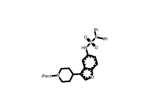 CCCC(C)N1CCC(c2coc3ccc(NS(=O)(=O)N(C(C)C)C(C)C)cc23)CC1